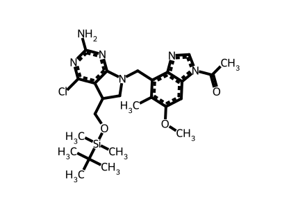 COc1cc2c(ncn2C(C)=O)c(CN2CC(CO[Si](C)(C)C(C)(C)C)c3c(Cl)nc(N)nc32)c1C